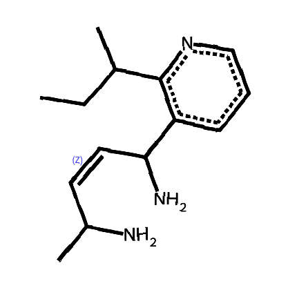 CCC(C)c1ncccc1C(N)/C=C\C(C)N